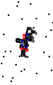 CCCCN(CCCC)C(=O)c1cc(-c2cc3c(cc2C(=O)N2Cc4ccccc4C[C@H]2CN2CCOCC2)CN(C(=O)Oc2ccc(C)cc2)CC3)n(C)c1C